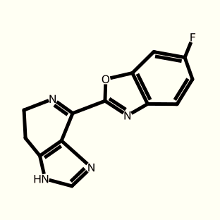 Fc1ccc2nc(C3=NCCc4[nH]cnc43)oc2c1